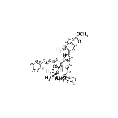 COC(=O)Nc1ccc(-c2cn(COCC[Si](C)(C)C)c(C(CCCOCc3ccccc3)NC(=O)OC(C)(C)C)n2)c(N)c1